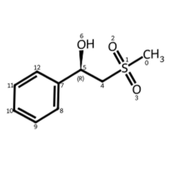 CS(=O)(=O)C[C@H](O)c1ccccc1